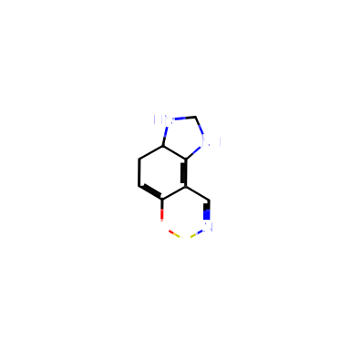 C1=NSOC2=CCC3NCNC3=C12